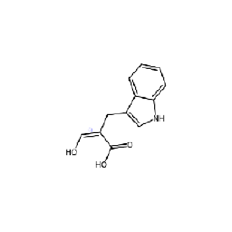 O=C(O)/C(=C\O)Cc1c[nH]c2ccccc12